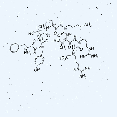 C[C@@H](O)[C@H](NC(=O)[C@H](CCCCN)NC(=O)[C@@H]1CCCN1C(=O)[C@@H](NC(=O)[C@H](Cc1ccc(O)cc1)NC(=O)[C@@H](N)Cc1ccccc1)[C@@H](C)O)C(=O)N[C@@H](CCCNC(=N)N)C(=O)N[C@@H](CCCNC(=N)N)C(=O)O